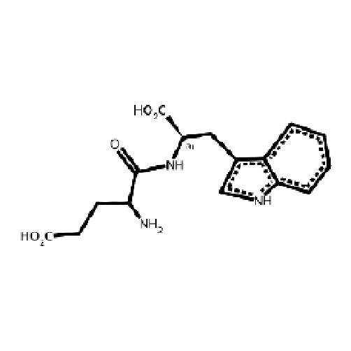 NC(CCC(=O)O)C(=O)N[C@H](Cc1c[nH]c2ccccc12)C(=O)O